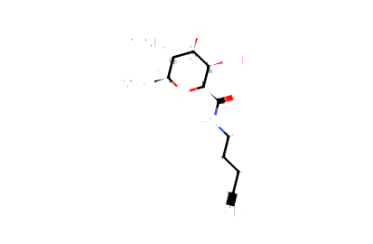 C#CCCCNC(=O)[C@H]1O[C@@H](OC)[C@H](NC(C)=O)[C@@H](O)[C@H]1O